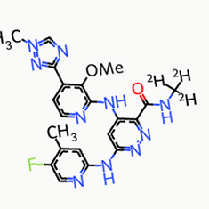 [2H]C([2H])([2H])NC(=O)c1nnc(Nc2cc(C)c(F)cn2)cc1Nc1nccc(-c2ncn(C)n2)c1OC